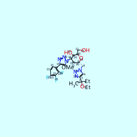 CCOC(C)(CC)c1cn(C[C@H]2O[C@H](CO)[C@H](O)[C@H](n3cc(-c4ccc(F)c(F)c4F)nn3)[C@H]2OC)nn1